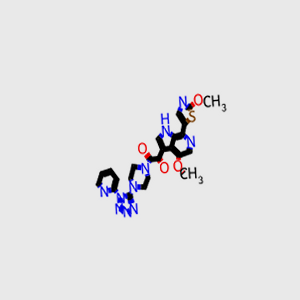 COc1ncc(-c2ncc(OC)c3c(C(=O)C(=O)N4CCN(c5nnnn5-c5ccccn5)CC4)c[nH]c23)s1